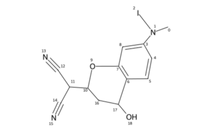 CN(I)c1ccc2c(c1)OC(C(C#N)C#N)CC2O